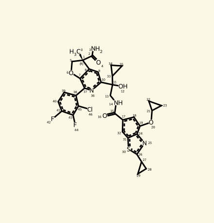 C[C@]1(C(N)=O)COc2c1cc(C(O)(CNC(=O)c1cc(OC3CC3)c3nc(C4CC4)sc3c1)C1CC1)nc2-c1ccc(F)c(F)c1Cl